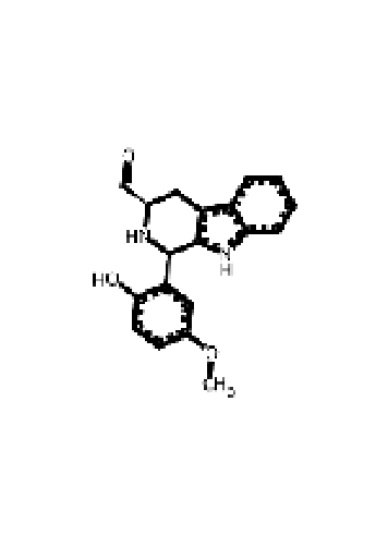 COc1ccc(O)c([C@H]2N[C@@H](C=O)Cc3c2[nH]c2ccccc32)c1